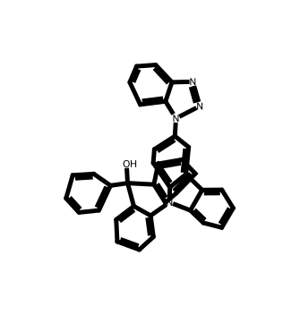 OC(c1ccccc1)(c1ccccc1)c1ccccc1-n1c2ccccc2c2cc(-n3nnc4ccccc43)ccc21